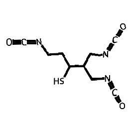 O=C=NCCC(S)C(CN=C=O)CN=C=O